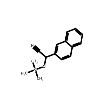 C[Si](C)(C)OC(C#N)c1ccc2ccccc2c1